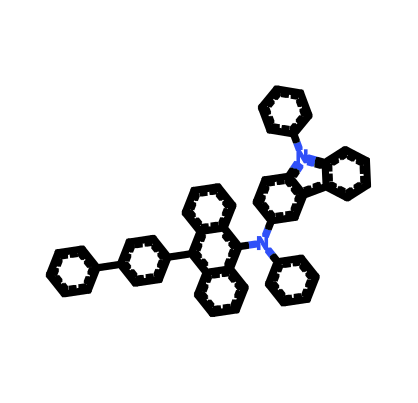 c1ccc(-c2ccc(-c3c4ccccc4c(N(c4ccccc4)c4ccc5c(c4)c4ccccc4n5-c4ccccc4)c4ccccc34)cc2)cc1